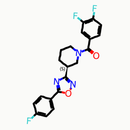 O=C(c1ccc(F)c(F)c1)N1CCC[C@H](c2noc(-c3ccc(F)cc3)n2)C1